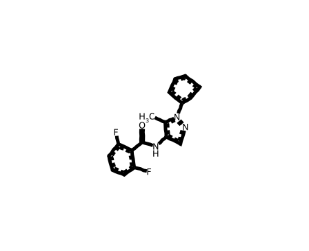 Cc1c(NC(=O)c2c(F)cccc2F)cnn1-c1ccccc1